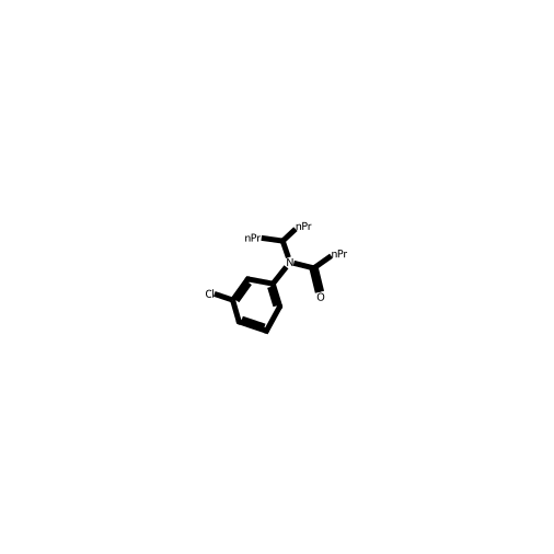 CCCC(=O)N(c1cccc(Cl)c1)C(CCC)CCC